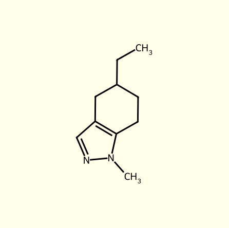 CCC1CCc2c(cnn2C)C1